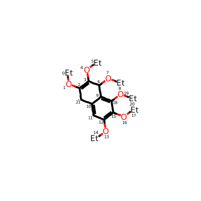 CCOC1=C(OCC)C(OCC)c2c(cc(OCC)c(OCC)c2OCC)[CH]1